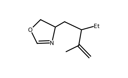 C=C(C)C(CC)CC1COC=N1